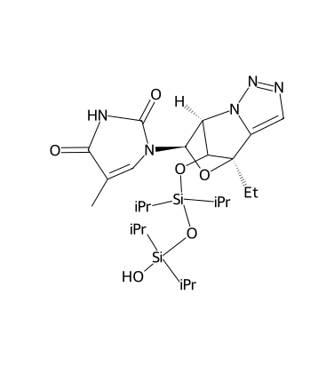 CC[C@]12O[C@@H](n3cc(C)c(=O)[nH]c3=O)[C@H](C1O[Si](O[Si](O)(C(C)C)C(C)C)(C(C)C)C(C)C)n1nncc12